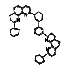 C1=CCCC(C2=Nc3c(ccc4ccc(C5C=C(c6cccc(-c7ccc8ccc9ccc(-c%10ccccc%10)nc9c8n7)c6)C=CC5)nc34)CC2)=C1